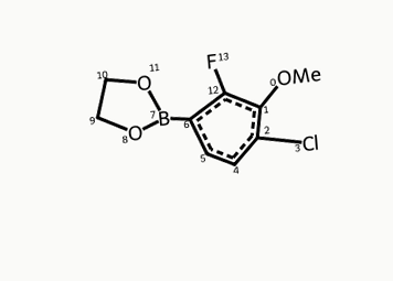 COc1c(Cl)ccc(B2OCCO2)c1F